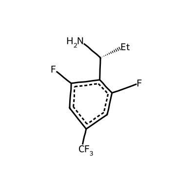 CC[C@@H](N)c1c(F)cc(C(F)(F)F)cc1F